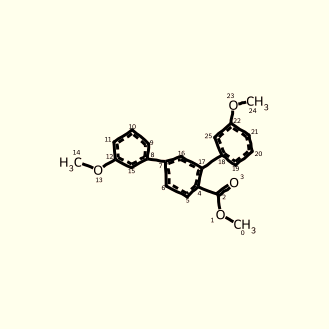 COC(=O)c1ccc(-c2cccc(OC)c2)cc1-c1cccc(OC)c1